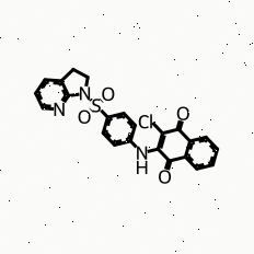 O=C1C(Cl)=C(Nc2ccc(S(=O)(=O)N3CCc4cccnc43)cc2)C(=O)c2ccccc21